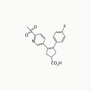 CS(=O)(=O)c1ccc(C2=C(c3ccc(F)cc3)CC(C(=O)O)C2)cn1